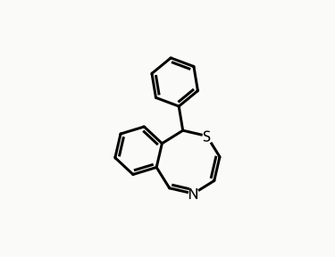 C1=CSC(c2ccccc2)c2ccccc2C=N1